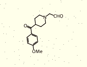 COc1ccc(C(=O)C2CCN(CC=O)CC2)cc1